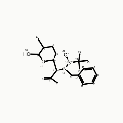 C=C(C)[C@@H]([C@@H]1CCC(I)C(O)O1)N(Cc1ccccc1)[S@@+]([O-])C(C)(C)C